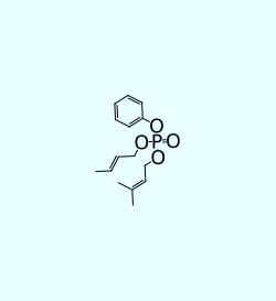 C/C=C/COP(=O)(OCC=C(C)C)Oc1ccccc1